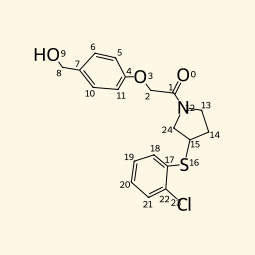 O=C(COc1ccc(CO)cc1)N1CCC(Sc2ccccc2Cl)C1